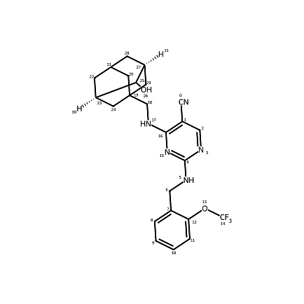 N#Cc1cnc(NCc2ccccc2OC(F)(F)F)nc1NCC12CC3C[C@H](C1)C(O)[C@@H](C3)C2